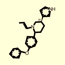 CC=CN1C[C@@H](c2cc[nH]c2)CCC1c1ccc(Oc2ccccc2)cc1